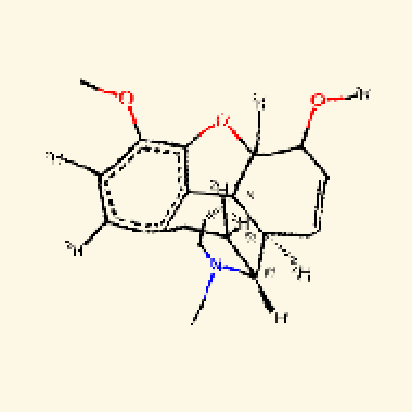 [2H]OC1C=C[C@@]2([2H])[C@@H]3N(C)CC[C@@]24c2c(c(OC)c([2H])c([2H])c2C3([2H])[2H])OC14[2H]